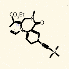 C=CN1C2=CCC(C#C[Si](C)(C)C)C=C2C(=O)N(C)C/C1=C(/C)C(=O)OCC